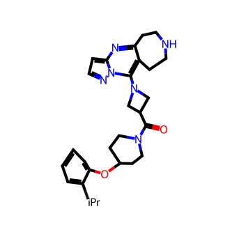 CC(C)c1ccccc1OC1CCN(C(=O)C2CN(c3c4c(nc5ccnn35)CCNCC4)C2)CC1